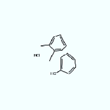 Cc1ccccc1C.Cl.Oc1ccccc1